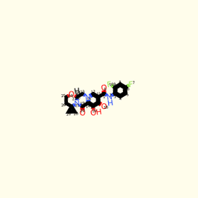 O=C(Nc1ccc(F)cc1F)c1cn2c(c(O)c1=O)C(=O)N1[C@H](C2)OCCC12CC2